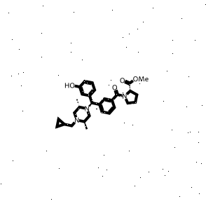 COC(=O)[C@@H]1CCCN1C(=O)c1cccc([C@H](c2cccc(O)c2)N2C[C@@H](C)N(CC3CC3)C[C@@H]2C)c1